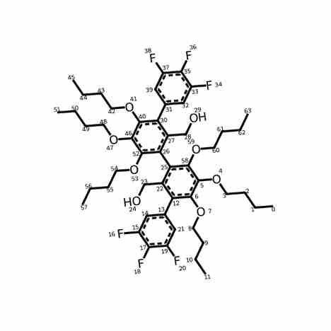 CCCCOc1c(OCCCC)c(-c2cc(F)c(F)c(F)c2)c(CO)c(-c2c(CO)c(-c3cc(F)c(F)c(F)c3)c(OCCCC)c(OCCCC)c2OCCCC)c1OCCCC